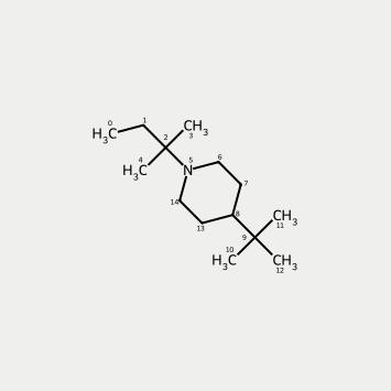 CCC(C)(C)N1CCC(C(C)(C)C)CC1